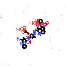 Cc1cc(N=Nc2c(C)c(C#N)c3nc4ccccc4n3c2O)c(OCCCS(=O)(=O)O)cc1N=Nc1sc(N=Nc2ccccc2S(=O)(=O)O)c(-c2c(CO)c(OC=O)cc3ccccc23)c1C#N